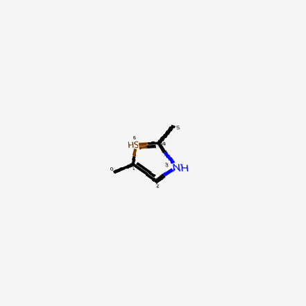 CC1=CNC(C)=[SH]1